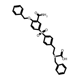 NC(=O)c1cc(S(=O)(=O)c2ccc(CCN(Cc3ccccc3)C(=O)O)cc2)ccc1OCc1ccccc1